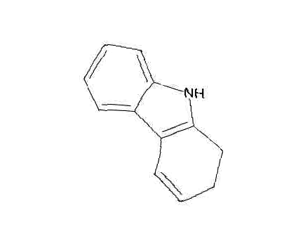 C1=Cc2c([nH]c3ccccc23)CC1